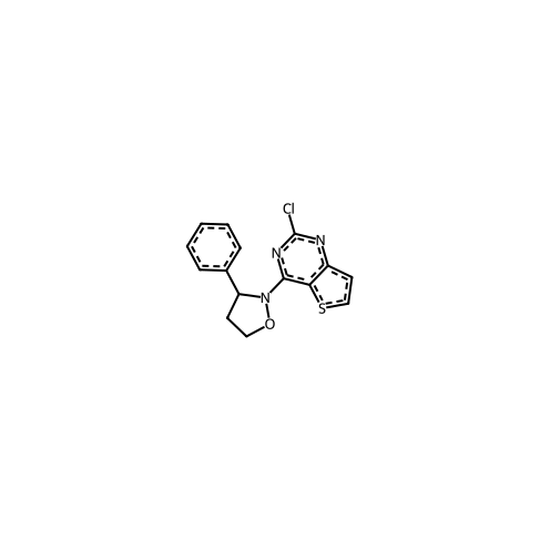 Clc1nc(N2OCCC2c2ccccc2)c2sccc2n1